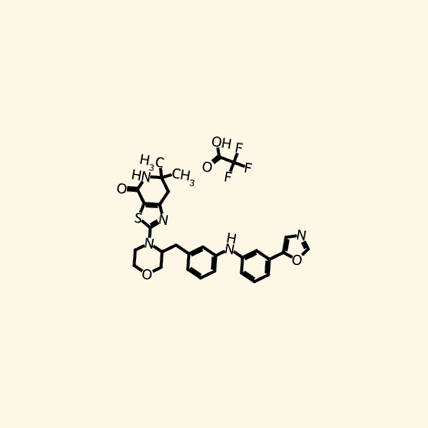 CC1(C)Cc2nc(N3CCOCC3Cc3cccc(Nc4cccc(-c5cnco5)c4)c3)sc2C(=O)N1.O=C(O)C(F)(F)F